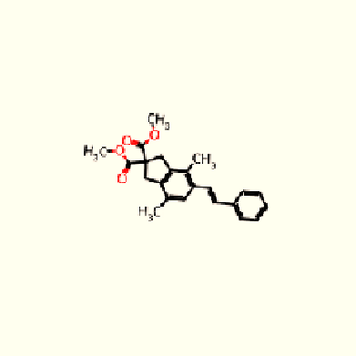 COC(=O)C1(C(=O)OC)Cc2c(C)cc(C=Cc3ccccc3)c(C)c2C1